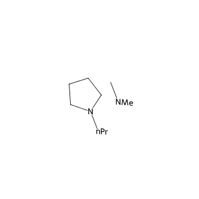 CCCN1CCCC1.CNC